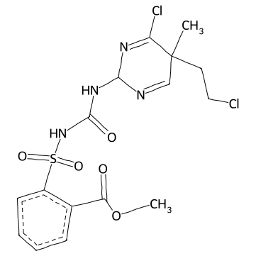 COC(=O)c1ccccc1S(=O)(=O)NC(=O)NC1N=CC(C)(CCCl)C(Cl)=N1